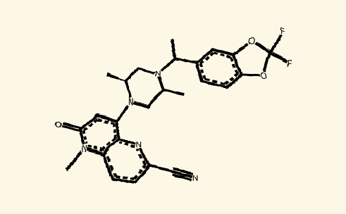 CC1CN(c2cc(=O)n(C)c3ccc(C#N)nc23)[C@@H](C)CN1C(C)c1ccc2c(c1)OC(F)(F)O2